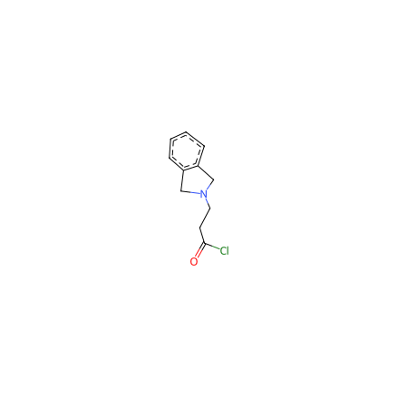 O=C(Cl)CCN1Cc2ccccc2C1